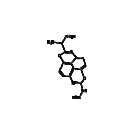 CCCCCCCCNC1=Nc2ccc3c4c(ccc(c24)O1)N=C(C(N)CCCCCCC)O3